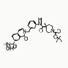 CC(C)(C)OC(=O)N1CCC(C)(C(=O)Nc2cccc(Cn3ccc4ccc(C(=O)NO)cc4c3=O)c2)CC1